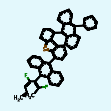 C=C/C=C(F)\C(=C(/C)F)c1c2ccccc2c(-c2cccc3c2sc2cccc(-c4c5ccccc5c(-c5ccccc5)c5ccccc45)c23)c2ccccc12